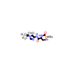 CC(C)CC(NC(=O)OC(C)(C)C)C(=O)Nc1cn(C(C)(C)C=O)cn1